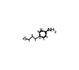 Nc1ccc(CCC[S])cc1